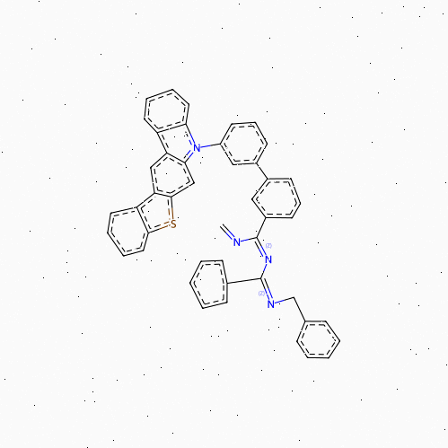 C=N/C(=N\C(=N/Cc1ccccc1)c1ccccc1)c1cccc(-c2cccc(-n3c4ccccc4c4cc5c(cc43)sc3ccccc35)c2)c1